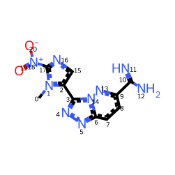 Cn1c(-c2nnc3ccc(C(=N)N)nn23)cnc1[N+](=O)[O-]